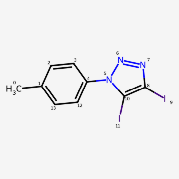 Cc1ccc(-n2nnc(I)c2I)cc1